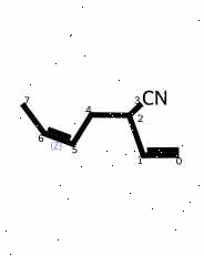 C=CC(C#N)C/C=C\C